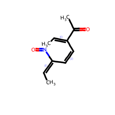 C\C=C(/C=C\C(=C/C)C(C)=O)N=O